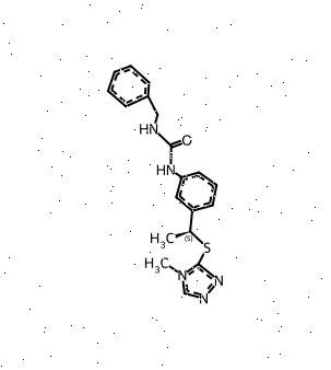 C[C@H](Sc1nncn1C)c1cccc(NC(=O)NCc2ccccc2)c1